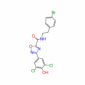 O=C(NCCc1ccc(Br)cc1)c1nc(-c2cc(Cl)c(O)c(Cl)c2)no1